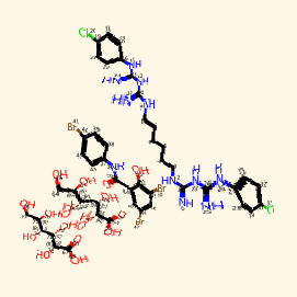 N=C(NCCCCCCNC(=N)NC(=N)Nc1ccc(Cl)cc1)NC(=N)Nc1ccc(Cl)cc1.O=C(Nc1ccc(Br)cc1)c1cc(Br)cc(Br)c1O.O=C(O)[C@H](O)[C@@H](O)[C@H](O)[C@H](O)CO.O=C(O)[C@H](O)[C@@H](O)[C@H](O)[C@H](O)CO